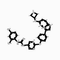 O=C(Nc1cnc(Oc2ccc(-c3cnc4ccc(OC5COC5)nn34)cc2)nc1)Nc1ccc(Cl)cc1Cl